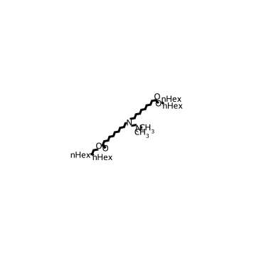 CCCCCCC(CCCCCC)CCOC(=O)CCCCCCCCCN(CCCCCCCCCC(=O)OC(CCCCCC)CCCCCC)CCN(C)C